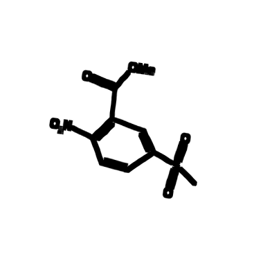 COC(=O)c1cc(S(C)(=O)=O)ccc1[N+](=O)[O-]